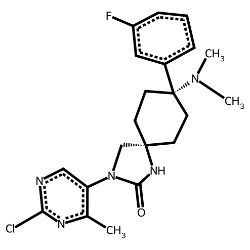 Cc1nc(Cl)ncc1N1C[C@]2(CC[C@@](c3cccc(F)c3)(N(C)C)CC2)NC1=O